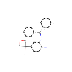 Nc1ccc(C2(O)COC2)cc1N=C(c1ccccc1)c1ccccc1